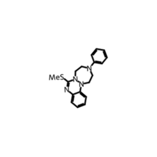 CSC1=Nc2ccccc2N2CCN(c3ccccc3)CCN12